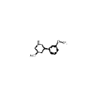 CC(=O)OC1CNCC(c2cccc(OC(F)(F)F)c2)C1